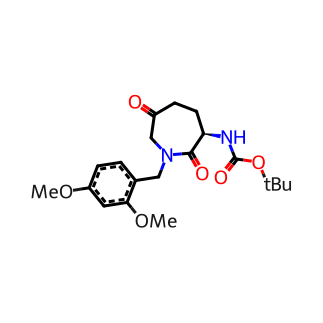 COc1ccc(CN2CC(=O)CC[C@@H](NC(=O)OC(C)(C)C)C2=O)c(OC)c1